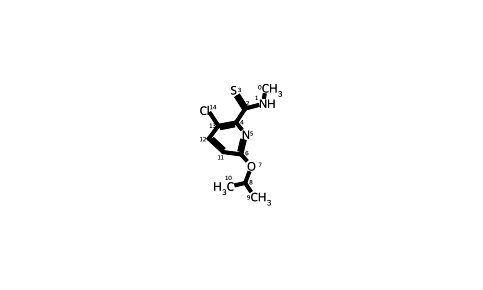 CNC(=S)c1nc(OC(C)C)ccc1Cl